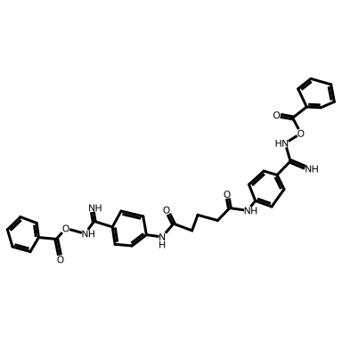 N=C(NOC(=O)c1ccccc1)c1ccc(NC(=O)CCCC(=O)Nc2ccc(C(=N)NOC(=O)c3ccccc3)cc2)cc1